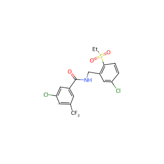 CCS(=O)(=O)c1ccc(Cl)cc1CNC(=O)c1cc(Cl)[c]c(C(F)(F)F)c1